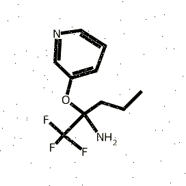 CCCC(N)(Oc1cccnc1)C(F)(F)F